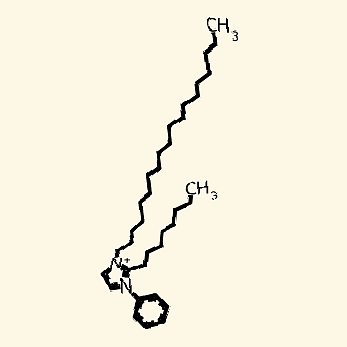 CCCCCCCCCCCCCCCCCCC[n+]1ccn(-c2ccccc2)c1CCCCCCCC